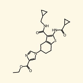 CCOC(=O)c1cn(C2CCc3sc(NC(=O)C4CC4)c(C(=O)NCC4CC4)c3C2)cn1